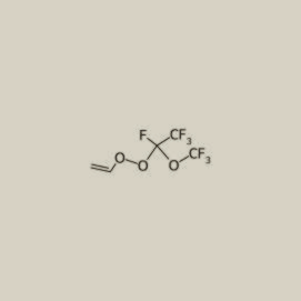 C=COOC(F)(OC(F)(F)F)C(F)(F)F